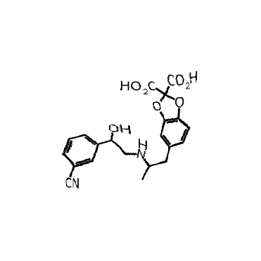 CC(Cc1ccc2c(c1)OC(C(=O)O)(C(=O)O)O2)NCC(O)c1cccc(C#N)c1